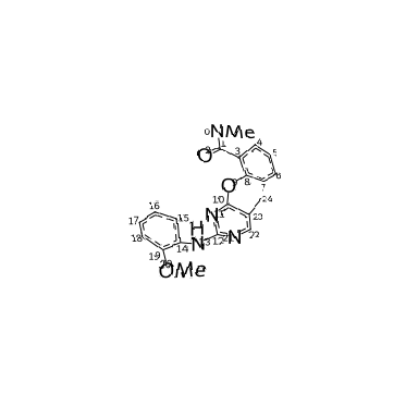 CNC(=O)c1ccccc1Oc1nc(Nc2ccccc2OC)ncc1C